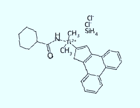 [CH3][Ti+2]([CH3])([NH]C(=O)C1CCCCC1)[C]1=Cc2c(c3ccccc3c3ccccc23)C1.[Cl-].[Cl-].[SiH4]